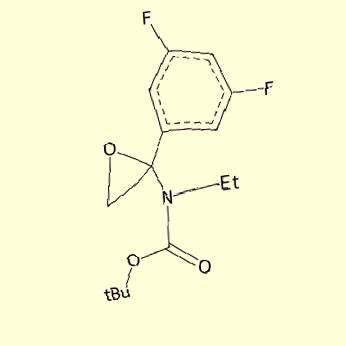 CCN(C(=O)OC(C)(C)C)C1(c2cc(F)cc(F)c2)CO1